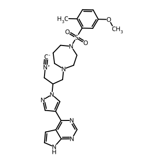 [C-]#[N+]CC(CN1CCCN(S(=O)(=O)c2cc(OC)ccc2C)CC1)n1cc(-c2ncnc3[nH]ccc23)cn1